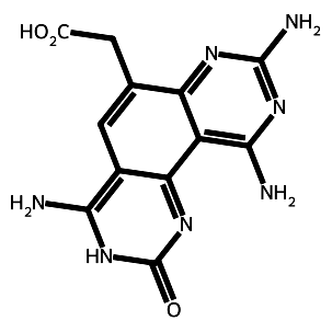 Nc1nc(N)c2c(n1)c(CC(=O)O)cc1c(N)[nH]c(=O)nc12